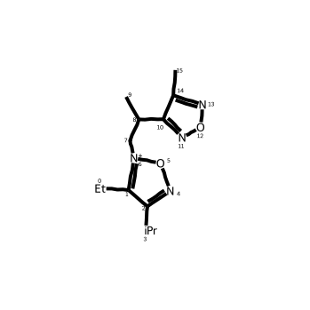 CCc1c(C(C)C)no[n+]1CC(C)c1nonc1C